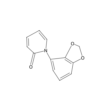 O=c1ccccn1-c1cccc2c1OCO2